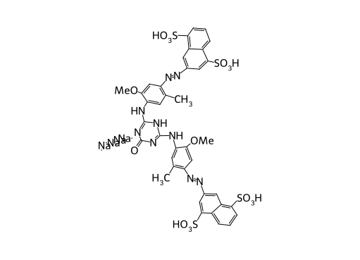 COc1cc(N=Nc2cc(S(=O)(=O)O)c3cccc(S(=O)(=O)O)c3c2)c(C)cc1Nc1nc(=O)nc(Nc2cc(C)c(N=Nc3cc(S(=O)(=O)O)c4cccc(S(=O)(=O)O)c4c3)cc2OC)[nH]1.[Na].[Na].[Na].[Na]